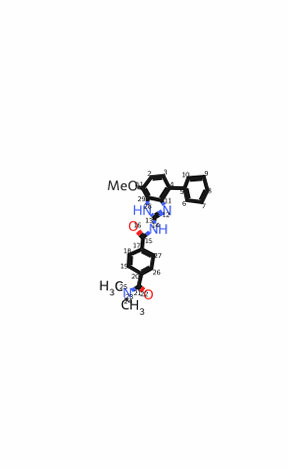 COc1ccc(-c2ccccc2)c2nc(NC(=O)c3ccc(C(=O)N(C)C)cc3)[nH]c12